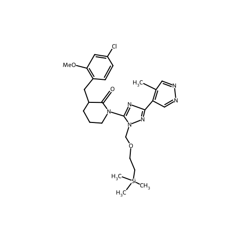 COc1cc(Cl)ccc1CC1CCCN(c2nc(-c3cnncc3C)nn2COCC[Si](C)(C)C)C1=O